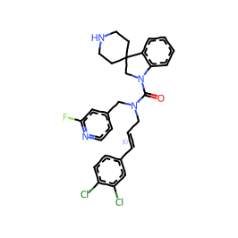 O=C(N(C/C=C/c1ccc(Cl)c(Cl)c1)Cc1ccnc(F)c1)N1CC2(CCNCC2)c2ccccc21